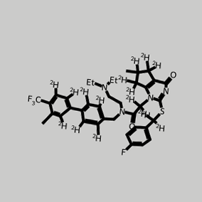 [2H]c1c([2H])c(-c2c([2H])c([2H])c(C(F)(F)F)c(C)c2[2H])c([2H])c([2H])c1CN(CCN(CC)CC)C(=O)C([2H])([2H])n1c(SC([2H])([2H])c2ccc(F)cc2)nc(=O)c2c1C([2H])([2H])C([2H])(C)C2([2H])[2H]